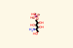 N[C@@H](CO)[C@@H](O)[C@H](O)[C@H](O)COP(=O)(O)O